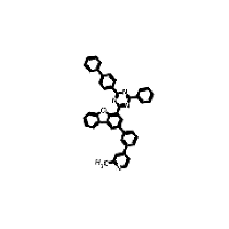 Cc1cc(-c2cccc(-c3cc(-c4nc(-c5ccccc5)nc(-c5ccc(-c6ccccc6)cc5)n4)c4oc5ccccc5c4c3)c2)ccn1